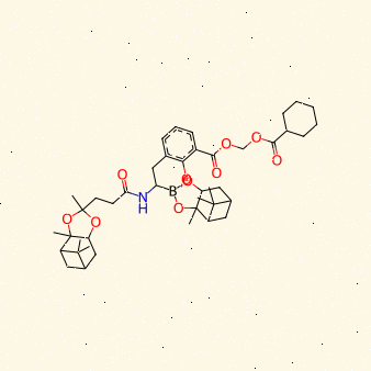 COc1c(CC(NC(=O)CCC2(C)OC3CC4CC(C4(C)C)C3(C)O2)B2OC3CC4CC(C4(C)C)C3(C)O2)cccc1C(=O)OCOC(=O)C1CCCCC1